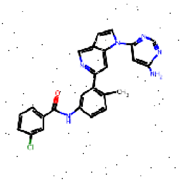 Cc1ccc(NC(=O)c2cccc(Cl)c2)cc1-c1cc2c(ccn2-c2cc(N)ncn2)cn1